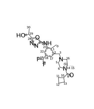 Cc1c(CN2CCN(C(=O)C3CCC3)[C@@H](C)C2)cc(C(F)F)cc1Nc1nnc(C(C)O)o1